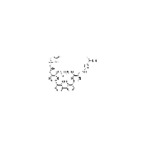 COc1nc(-c2cccc(-c3cccc(-c4cnc(CN[C@H]5C[C@@H](C(N)=O)C5)c(OC)n4)c3Cl)c2Cl)cnc1CNC[C@@H]1CCC(=O)N1